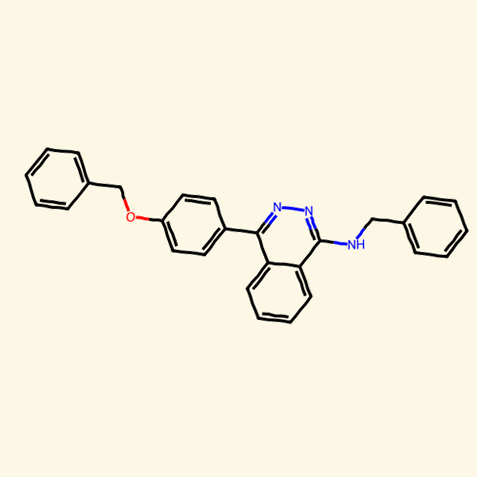 c1ccc(CNc2nnc(-c3ccc(OCc4ccccc4)cc3)c3ccccc23)cc1